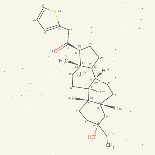 CC[C@@]1(O)CC[C@H]2[C@H](CC[C@@H]3[C@@H]2CC[C@]2(C)[C@@H](C(=O)Cc4cccs4)CC[C@@H]32)C1